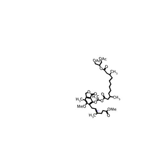 COC(=O)CC/C(C)=C/Cc1c(OC)c(C)c2c(c1OC(C)OC(=O)CC(C)CCCCCCC(C)CC(=O)OC(COC(C)=O)COC(C)=O)C(=O)OC2